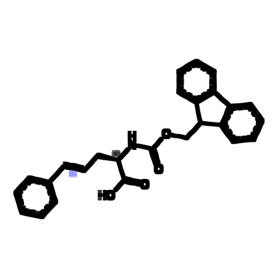 O=C(N[C@H](C/C=C/c1ccccc1)C(=O)O)OCC1c2ccccc2-c2ccccc21